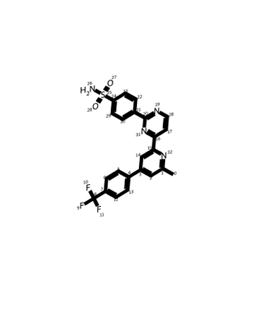 Cc1cc(-c2ccc(C(F)(F)F)cc2)cc(-c2ccnc(-c3ccc(S(N)(=O)=O)cc3)n2)n1